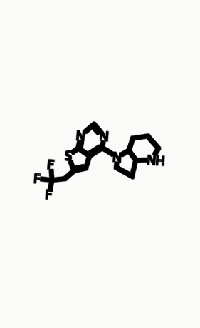 FC(F)(F)Cc1cc2c(N3CCC4NCCCC43)ncnc2s1